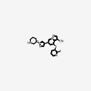 N#Cc1cnn2cc(-c3cnn([C@@H]4CCCNC4)c3)cc(Sc3cccnc3F)c12